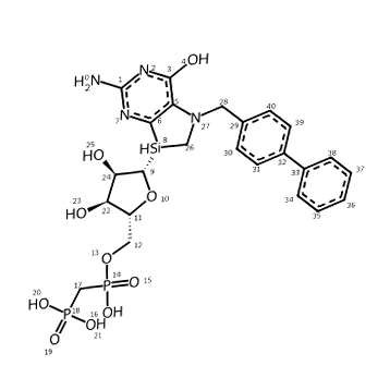 Nc1nc(O)c2c(n1)[SiH]([C@@H]1O[C@H](COP(=O)(O)CP(=O)(O)O)[C@@H](O)[C@H]1O)CN2Cc1ccc(-c2ccccc2)cc1